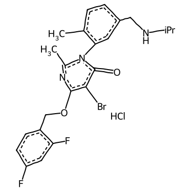 Cc1ccc(CNC(C)C)cc1-n1c(C)nc(OCc2ccc(F)cc2F)c(Br)c1=O.Cl